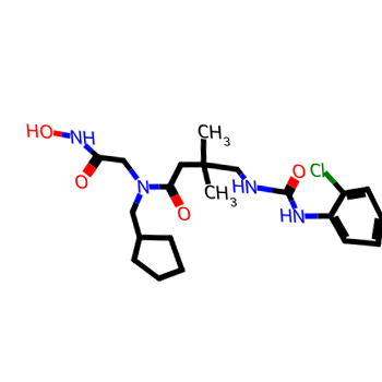 CC(C)(CNC(=O)Nc1ccccc1Cl)CC(=O)N(CC(=O)NO)CC1CCCC1